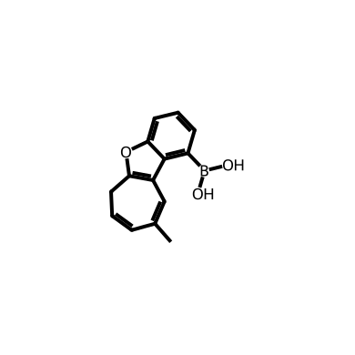 CC1=Cc2c(oc3cccc(B(O)O)c23)CC=C1